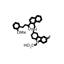 COc1ccccc1CCC(=O)c1ccc2ccccc2c1CNC1CCc2c(c3cc(F)ccc3n2CC(=O)O)C1